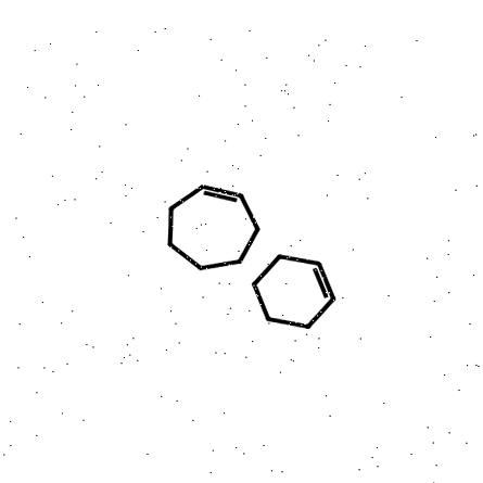 C1=CCCCC1.C1=CCCCCC1